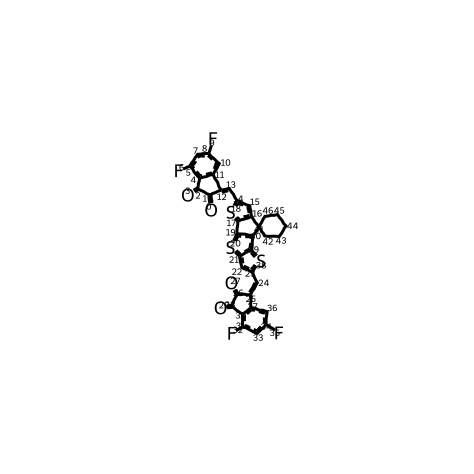 O=C1C(=O)c2c(F)cc(F)cc2/C1=C/c1cc2c(s1)-c1sc3cc(/C=C4\C(=O)C(=O)c5c(F)cc(F)cc54)sc3c1C21CCCCC1